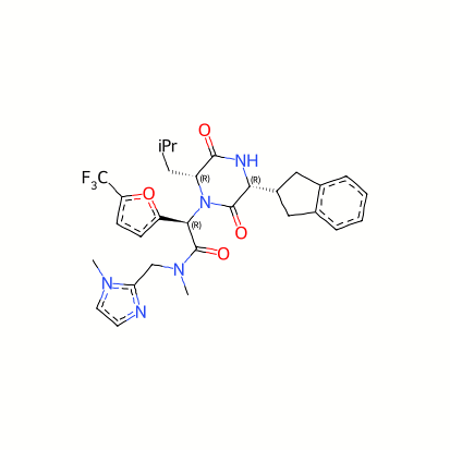 CC(C)C[C@@H]1C(=O)N[C@H](C2Cc3ccccc3C2)C(=O)N1[C@@H](C(=O)N(C)Cc1nccn1C)c1ccc(C(F)(F)F)o1